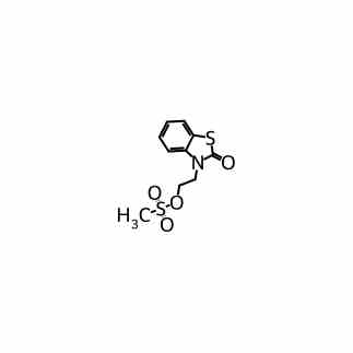 CS(=O)(=O)OCCn1c(=O)sc2ccccc21